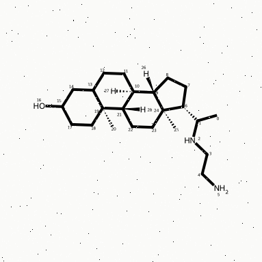 CC(NCCN)[C@H]1CC[C@H]2[C@@H]3CCC4CC(O)CC[C@]4(C)[C@H]3CC[C@]12C